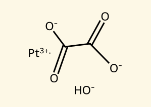 O=C([O-])C(=O)[O-].[OH-].[Pt+3]